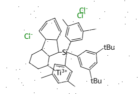 Cc1cc(C)cc([Si](c2cc(C)cc(C)c2)(c2cc(C(C)(C)C)cc(C(C)(C)C)c2)C2C3C=CC=CC3C3CCC[CH]([Ti+3])C32)c1.[Cl-].[Cl-].[Cl-]